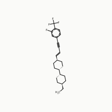 CC[C@H]1CC[C@H]([C@H]2CC[C@H](C=CC#Cc3ccc(C(F)(F)F)c(F)c3)CC2)CC1